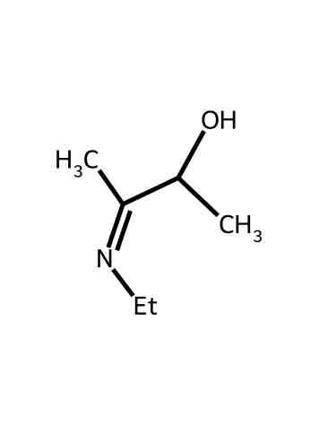 CC/N=C(/C)C(C)O